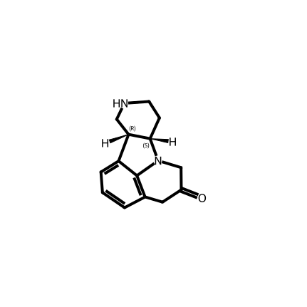 O=C1Cc2cccc3c2N(C1)[C@H]1CCNC[C@@H]31